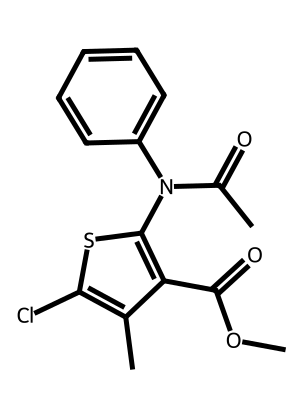 COC(=O)c1c(N(C(C)=O)c2ccccc2)sc(Cl)c1C